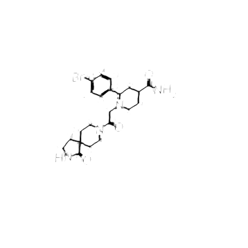 NC(=O)C1CCN(CC(=O)N2CCC3(CCNC3=O)CC2)C(c2ccc(Br)cc2)C1